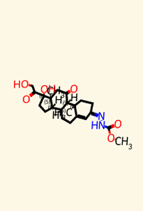 COC(=O)NN=C1C=C2CC[C@@H]3[C@H](C(=O)C[C@@]4(C)[C@H]3CC[C@]4(O)C(=O)CO)[C@@]2(C)CC1